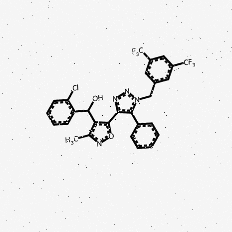 Cc1noc(-c2nnn(Cc3cc(C(F)(F)F)cc(C(F)(F)F)c3)c2-c2ccccc2)c1C(O)c1ccccc1Cl